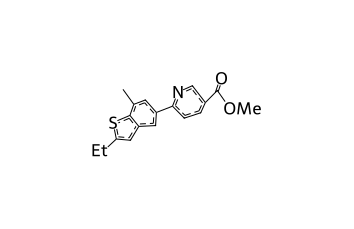 CCc1cc2cc(-c3ccc(C(=O)OC)cn3)cc(C)c2s1